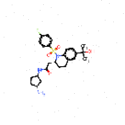 N[C@@H]1CC[C@@H](NC(=O)C[C@@H]2CCc3cc(C(O)(C(F)(F)F)C(F)(F)F)ccc3N2S(=O)(=O)c2ccc(F)cc2)C1